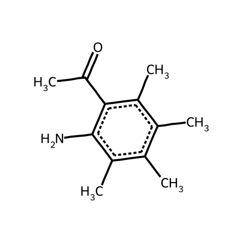 CC(=O)c1c(C)c(C)c(C)c(C)c1N